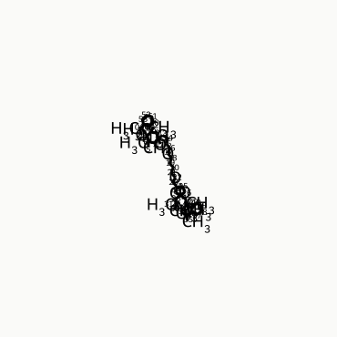 CC(ON1C(C)(C)CC2(CC1(C)C)OCC(COCCCCOCC1COC3(CC(C)(C)N(OC(C)c4ccccc4)C(C)(C)C3)O1)O2)c1ccccc1